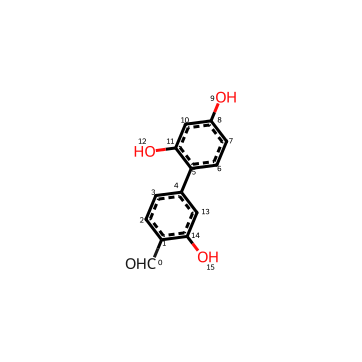 O=Cc1ccc(-c2ccc(O)cc2O)cc1O